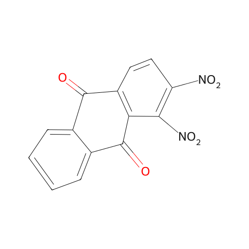 O=C1c2ccccc2C(=O)c2c1ccc([N+](=O)[O-])c2[N+](=O)[O-]